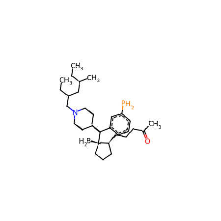 B[C@]1(C(c2cccc(P)c2)C2CCN(CC(CC)CC(C)CC)CC2)CCC[C@@H]1CCCC(C)=O